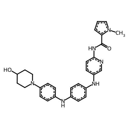 Cn1cccc1C(=O)Nc1ccc(Nc2ccc(Nc3ccc(N4CCC(O)CC4)cc3)cc2)cn1